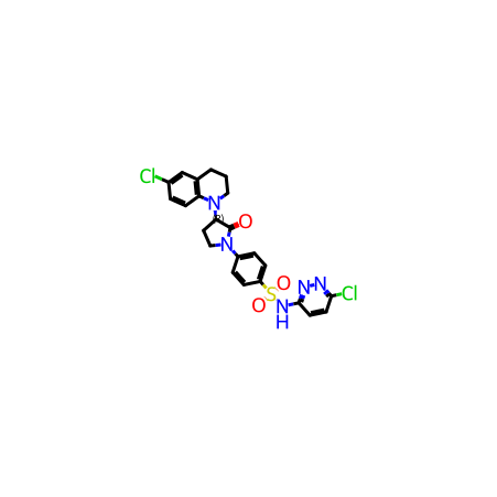 O=C1[C@H](N2CCCc3cc(Cl)ccc32)CCN1c1ccc(S(=O)(=O)Nc2ccc(Cl)nn2)cc1